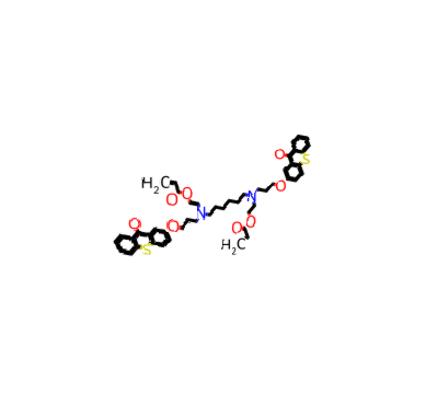 C=CC(=O)OCCN(CCCCCCN(CCCOc1ccc2sc3ccccc3c(=O)c2c1)CCOC(=O)C=C)CCCOc1ccc2sc3ccccc3c(=O)c2c1